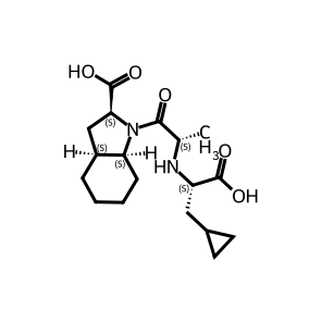 C[C@H](N[C@@H](CC1CC1)C(=O)O)C(=O)N1[C@H](C(=O)O)C[C@@H]2CCCC[C@@H]21